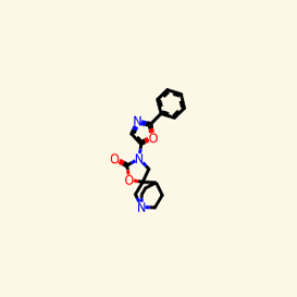 O=C1OC2(CN3CCC2CC3)CN1c1cnc(-c2ccccc2)o1